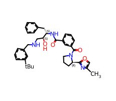 Cc1coc([C@H]2CCCN2C(=O)c2cccc(C(=O)N[C@@H](Cc3ccccc3)[C@@H](O)CNCc3cccc(C(C)(C)C)c3)c2)n1